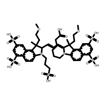 COCCC1(C)C(=CC=CC2N(CCCS(=O)(=O)O)c3ccc4c(S(=O)(=O)O)cc(S(=O)(=O)O)cc4c3C2(C)CCOC)N(CCCCCC(=O)O)c2ccc3c(S(=O)(=O)O)cc(S(=O)(=O)O)cc3c21